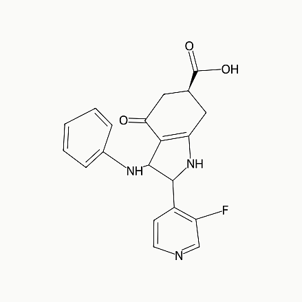 O=C1C[C@@H](C(=O)O)CC2=C1C(Nc1ccccc1)C(c1ccncc1F)N2